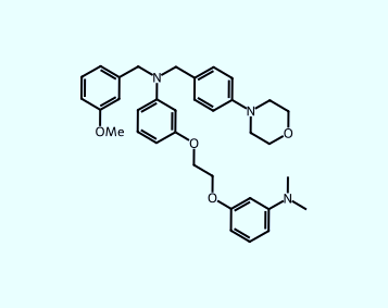 COc1cccc(CN(Cc2ccc(N3CCOCC3)cc2)c2cccc(OCCOc3cccc(N(C)C)c3)c2)c1